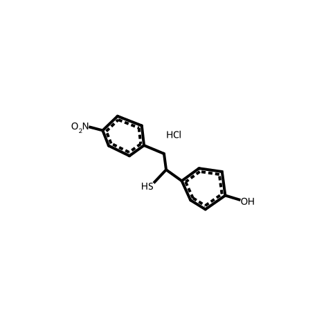 Cl.O=[N+]([O-])c1ccc(CC(S)c2ccc(O)cc2)cc1